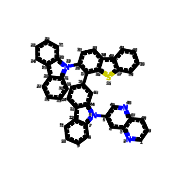 c1cnc2cc(-n3c4ccccc4c4ccc(-c5c(-n6c7ccccc7c7ccccc76)ccc6c5sc5ccccc56)cc43)cnc2c1